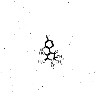 C=C1C(O)=C(c2ccc(Br)cc2CC)C(=O)C(C)(C)[S+]1[O-]